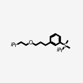 CC(C)CCOCCCc1cccc(S(C)(C)C(C)C)c1